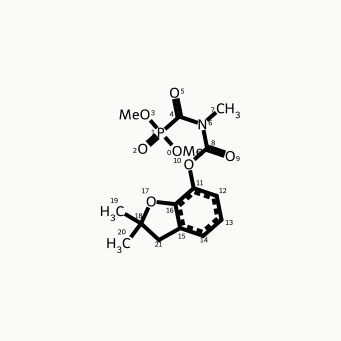 COP(=O)(OC)C(=O)N(C)C(=O)Oc1cccc2c1OC(C)(C)C2